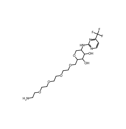 NCCOCCOCCOCCOCC1OCC(Nc2nccc(C(F)(F)F)n2)C(O)C1O